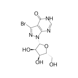 O=c1[nH]cnc2c1c(Br)nn2[C@@H]1O[C@H](CO)[C@@H](O)[C@H]1O